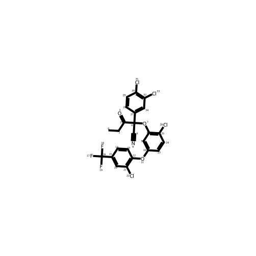 CCC(=O)C(C#N)(Oc1cc(Oc2ccc(C(F)(F)F)cc2Cl)ccc1Cl)c1ccc(Cl)c(Cl)c1